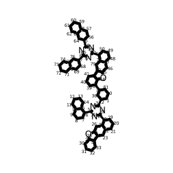 c1cc(-c2nc(-c3cccc4ccccc34)nc(-c3cccc4cc5c(cc34)oc3ccccc35)n2)cc(-c2cccc3c2oc2cc4cccc(-c5nc(-c6ccc7ccccc7c6)nc(-c6ccc7ccccc7c6)n5)c4cc23)c1